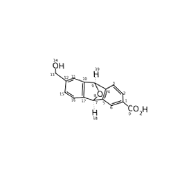 O=C(O)c1ccc2c(c1)[C@@H]1O[C@H]2c2cc(CO)ccc21